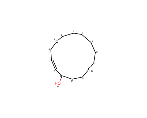 OC1C=CCCCCCCCCCCC1